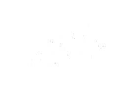 CNC(=O)c1c(C)[nH]c(/C=C2\C(=O)Nc3cc(Br)ccc32)c1C